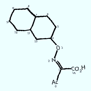 CC(=O)/C(=N/OC1CCC2CCCCC2C1)C(=O)O